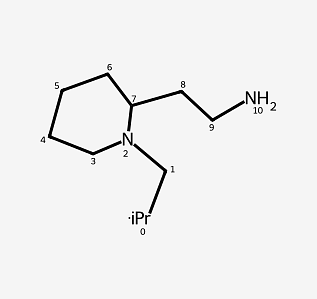 C[C](C)CN1CCCCC1CCN